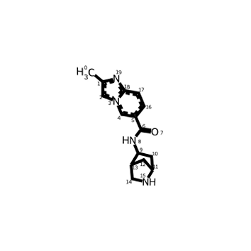 Cc1cn2cc(C(=O)NC3CC4CC3CN4)ccc2n1